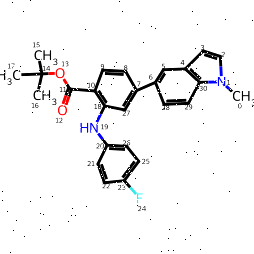 Cn1ccc2cc(-c3ccc(C(=O)OC(C)(C)C)c(Nc4ccc(F)cc4)c3)ccc21